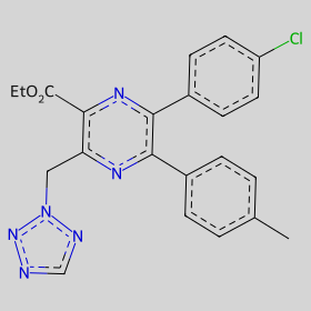 CCOC(=O)c1nc(-c2ccc(Cl)cc2)c(-c2ccc(C)cc2)nc1Cn1ncnn1